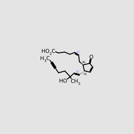 CC#CCCC(C)(O)/C=C/[C@H]1C=CC(=O)[C@@H]1C/C=C\CCCC(=O)O